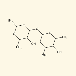 CC(C)C1CC(OC2CC(O)C(O)C(C)O2)C(O)C(C)O1